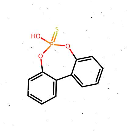 OP1(=S)Oc2ccccc2-c2ccccc2O1